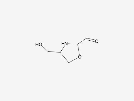 O=CC1NC(CO)CO1